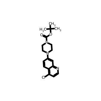 CC(C)(C)OC(=O)N1CCN(c2ccc3c(Cl)ccnc3c2)CC1